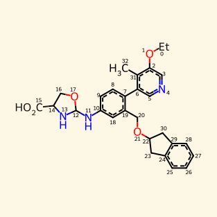 CCOc1cncc(-c2ccc(NC3NC(C(=O)O)CO3)cc2COC2Cc3ccccc3C2)c1C